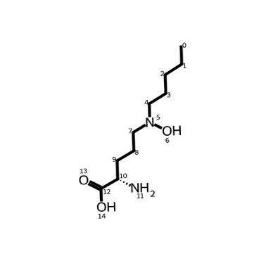 CCCCCN(O)CCC[C@H](N)C(=O)O